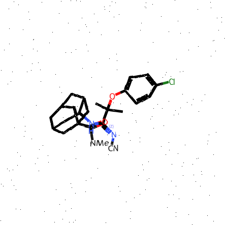 CNC(=O)C12CC3CC(C1)C(N/C(=N\C#N)C(C)(C)Oc1ccc(Cl)cc1)C(C3)C2